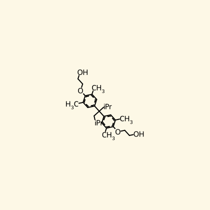 Cc1cc(C(CC(C)C)(c2cc(C)c(OCCO)c(C)c2)C(C)C)cc(C)c1OCCO